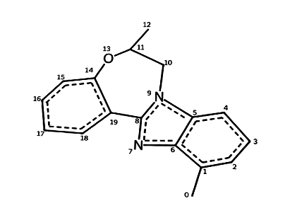 Cc1cccc2c1nc1n2CC(C)Oc2ccccc2-1